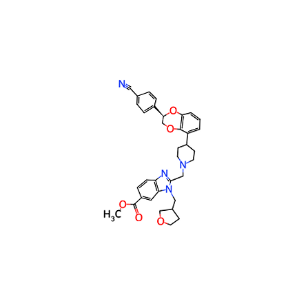 COC(=O)c1ccc2nc(CN3CCC(c4cccc5c4OC[C@@H](c4ccc(C#N)cc4)O5)CC3)n(CC3CCOC3)c2c1